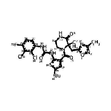 Cc1noc(CC2(C)C(=O)NCCN2C(=O)c2cc(C(C)(C)C)sc2NC(=O)Nc2ccc(F)c(Cl)c2Cl)n1